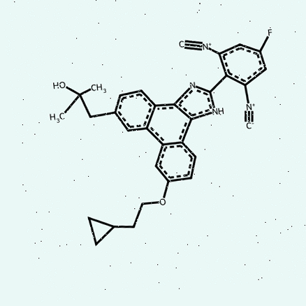 [C-]#[N+]c1cc(F)cc([N+]#[C-])c1-c1nc2c3ccc(CC(C)(C)O)cc3c3cc(OCCC4CC4)ccc3c2[nH]1